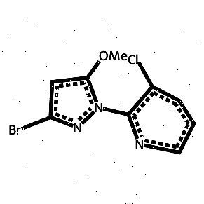 COc1cc(Br)nn1-c1ncccc1Cl